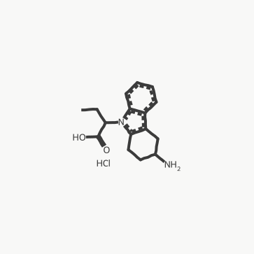 CCC(C(=O)O)n1c2c(c3ccccc31)CC(N)CC2.Cl